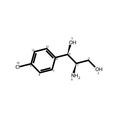 N[C@H](CO)[C@H](O)c1ccc(Cl)cc1